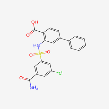 NC(=O)c1cc(Cl)cc(S(=O)(=O)Nc2cc(-c3ccccc3)ccc2C(=O)O)c1